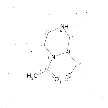 CC(=O)N1CCNCC1C[O]